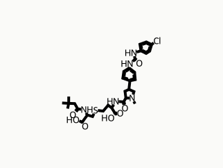 CN1CC(c2ccc(NC(=O)Nc3ccc(Cl)cc3)cc2)CC1C(=O)NC(CCSCC(NC(=O)CC(C)(C)C)C(=O)O)C(=O)O